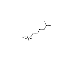 C=C(C)CCCCC(=O)O